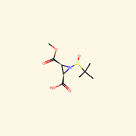 COC(=O)[C@@H]1[C@H](C(=O)O)N1[S@@+]([O-])C(C)(C)C